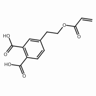 C=CC(=O)OCCc1ccc(C(=O)O)c(C(=O)O)c1